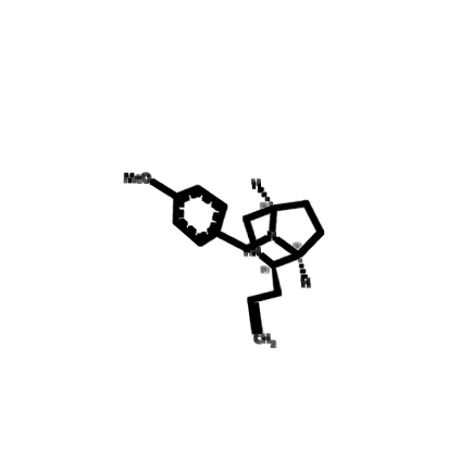 C=CC[C@H]1NC[C@H]2CC[C@@H]1N2Cc1ccc(OC)cc1